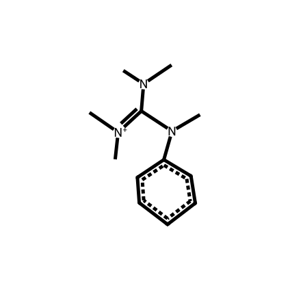 CN(C)C(N(C)c1ccccc1)=[N+](C)C